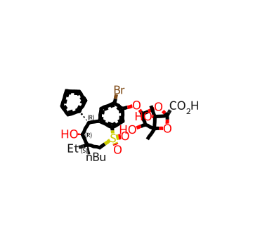 CCCC[C@]1(CC)CS(=O)(=O)c2cc(OC3OC4(C(=O)O)OC(C)(C3O)C4(C)O)c(Br)cc2[C@@H](c2ccccc2)[C@H]1O